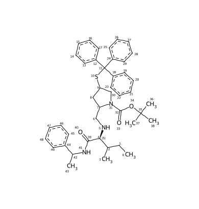 CCC(C)[C@H](NCC1CC(SC(c2ccccc2)(c2ccccc2)c2ccccc2)CN1C(=O)OC(C)(C)C)C(=O)NC(C)c1ccccc1